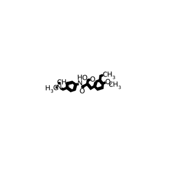 CCc1c(OC)ccc2cc(C(=O)Nc3ccc(CN(C)C)cc3)c(=O)oc12